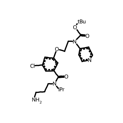 CC(C)N(CCCN)C(=O)c1cc(Cl)cc(OCCN(C(=O)OC(C)(C)C)c2ccncc2)c1